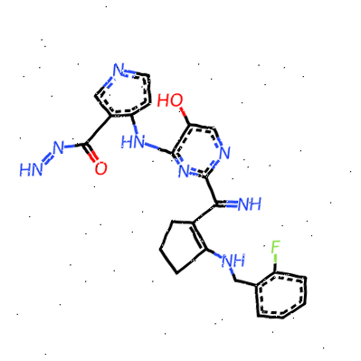 N=NC(=O)c1cnccc1Nc1nc(C(=N)C2=C(NCc3ccccc3F)CCC2)ncc1O